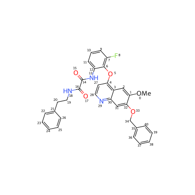 COc1cc2c(Oc3c(F)cccc3NC(=O)C(=O)NCCc3ccccc3)ccnc2cc1OCc1ccccc1